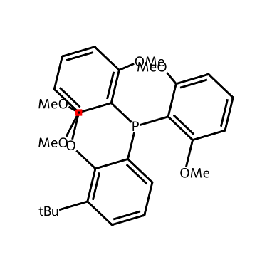 COCOc1c(P(c2c(OC)cccc2OC)c2c(OC)cccc2OC)cccc1C(C)(C)C